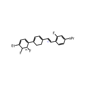 CCCc1ccc(/C=C/C2=CC=C(C3=CC=C(CC)C(F)[C@@H]3F)CC2)c(F)c1